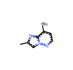 Cc1cn2nccc(C(C)(C)C)c2n1